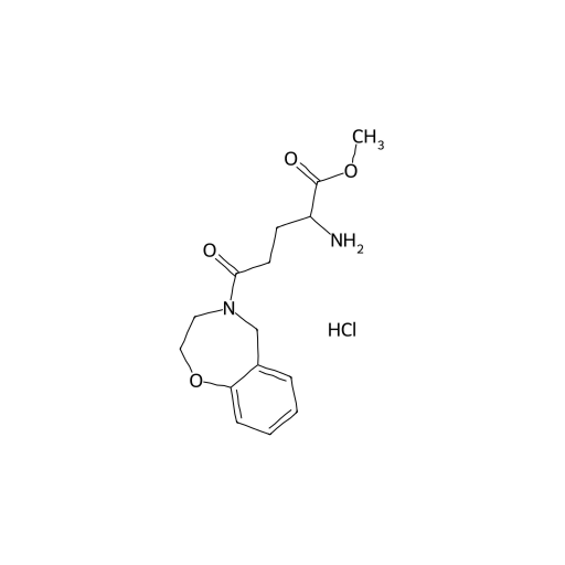 COC(=O)C(N)CCC(=O)N1CCOc2ccccc2C1.Cl